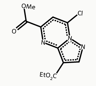 CCOC(=O)c1cnn2c(Cl)cc(C(=O)OC)nc12